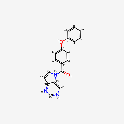 O=C(c1ccc(Oc2ccccc2)cc1)n1ccc2ncncc21